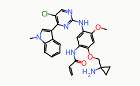 C=CC(=O)Nc1cc(Nc2ncc(Cl)c(-c3cn(C)c4ccccc34)n2)c(OC)cc1OCC1(N)CC1